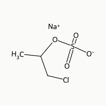 CC(CCl)OS(=O)(=O)[O-].[Na+]